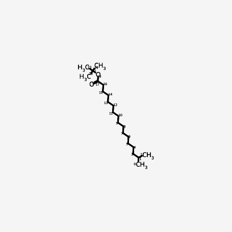 CC(C)CCCCCCCCCCCCCCC(=O)OC(C)(C)C